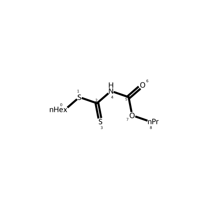 CCCCCCSC(=S)NC(=O)OCCC